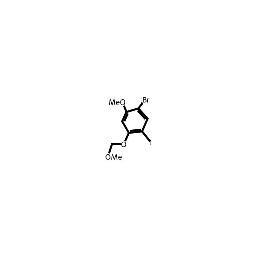 COCOc1cc(OC)c(Br)cc1I